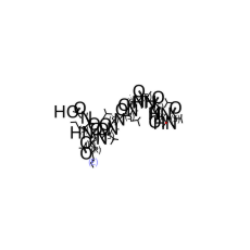 C/C=C/C[C@@H](C)[C@@H](OC(C)=O)[C@@H](C(=O)N[C@@H](CCC)C(=O)N(C)CC(=O)O)N(C)C(=O)[C@H](C(C)C)N(C)C(=O)[C@H](CC(C)C)N(C)C(=O)[C@H](CC(C)C)N(C)C(=O)[C@H](C)NC(=O)[C@@H](C)NC(=O)[C@H](CC(C)C)N(C)C(=O)[C@@H](NC(=O)[C@@H](NC)C(C)C)C(C)C